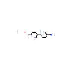 COC(=O)c1ccc(-c2ccc(C#N)cn2)cn1